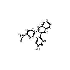 Clc1ccc(C2=Nc3ccccc3CN2c2ccc(C3CC3)cc2)cn1